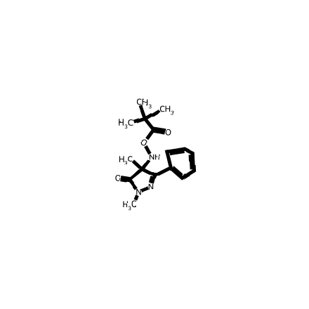 CN1N=C(c2ccccc2)C(C)(NOC(=O)C(C)(C)C)C1=O